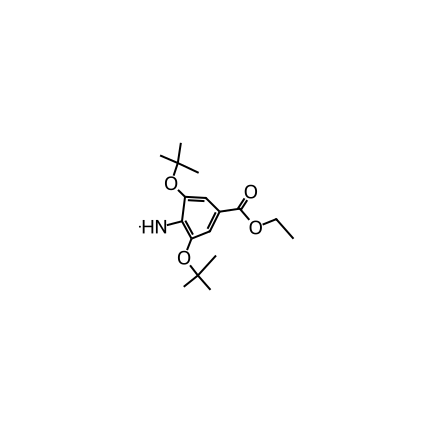 CCOC(=O)c1cc(OC(C)(C)C)c([NH])c(OC(C)(C)C)c1